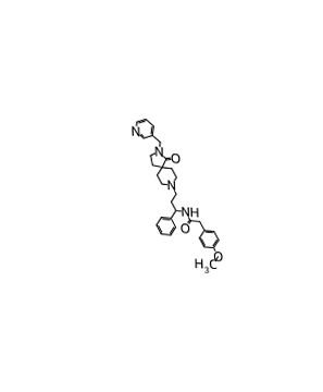 COc1ccc(CC(=O)NC(CCN2CCC3(CC2)CCN(Cc2cccnc2)C3=O)c2ccccc2)cc1